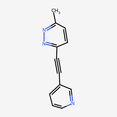 Cc1ccc(C#Cc2cccnc2)nn1